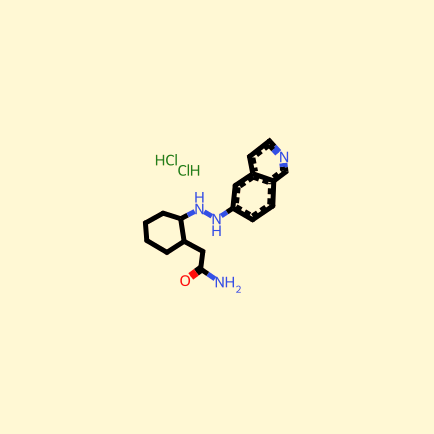 Cl.Cl.NC(=O)CC1CCCCC1NNc1ccc2cnccc2c1